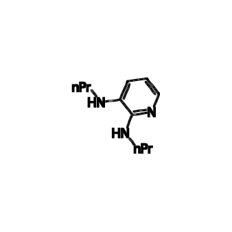 CCCNc1cccnc1NCCC